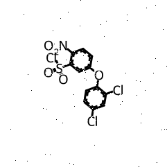 O=[N+]([O-])c1ccc(Oc2ccc(Cl)cc2Cl)cc1S(=O)(=O)Cl